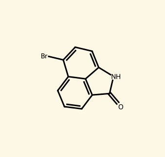 O=C1Nc2ccc(Br)c3cccc1c23